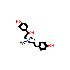 C[N+](C)(CCCc1ccc(O)cc1)CC(O)c1ccc(O)cc1